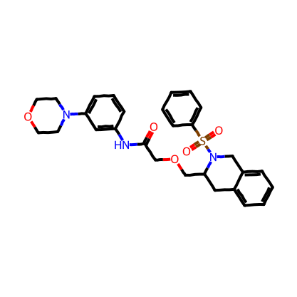 O=C(COCC1Cc2ccccc2CN1S(=O)(=O)c1ccccc1)Nc1cccc(N2CCOCC2)c1